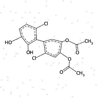 CC(=O)Oc1cc(Cl)c(-c2c(Cl)[c]cc(O)c2O)cc1OC(C)=O